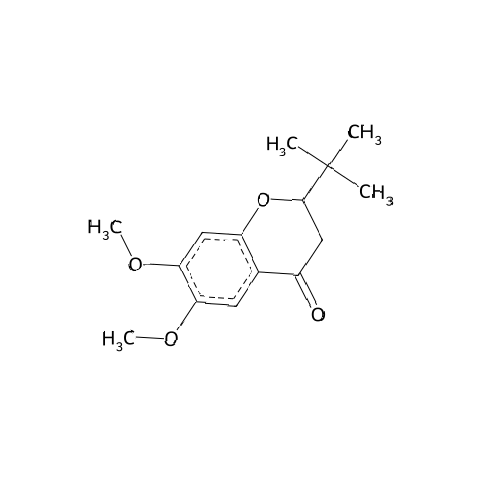 COc1cc2c(cc1OC)C(=O)CC(C(C)(C)C)O2